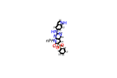 CCCn1c(=O)c(S(=O)(=O)c2ccccc2)cc2cnc(Nc3ccc4[nH]ccc4c3)nc21